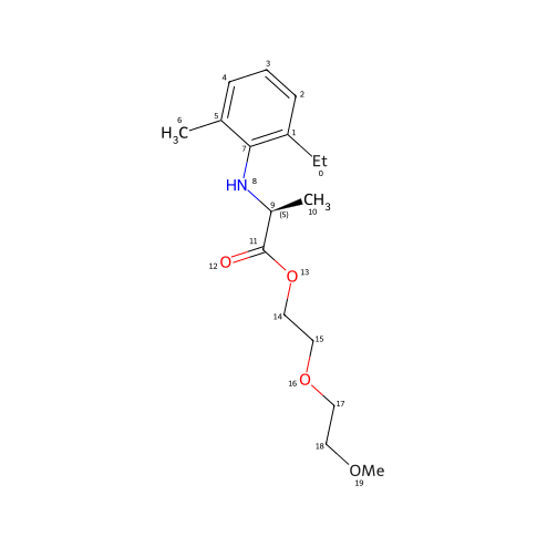 CCc1cccc(C)c1N[C@@H](C)C(=O)OCCOCCOC